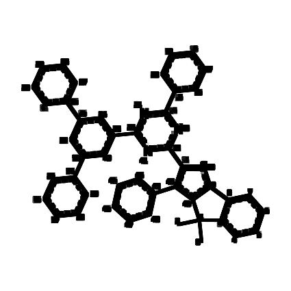 CC1(C)c2ccccc2-c2sc(-c3nc(-c4ccccc4)nc(-c4cc(-c5ccccc5)cc(-c5ccccc5)c4)n3)c(-c3ccccc3)c21